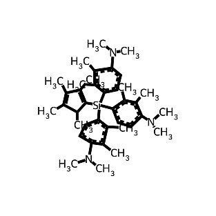 CC1=C(C)C(C)C([Si](c2ccc(N(C)C)c(C)c2C)(c2ccc(N(C)C)c(C)c2C)c2ccc(N(C)C)c(C)c2C)=C1C